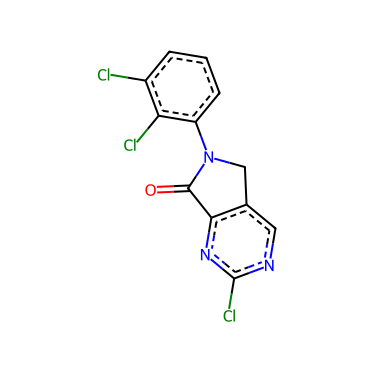 O=C1c2nc(Cl)ncc2CN1c1cccc(Cl)c1Cl